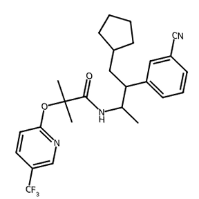 CC(NC(=O)C(C)(C)Oc1ccc(C(F)(F)F)cn1)C(CC1CCCC1)c1cccc(C#N)c1